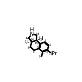 Cc1c(C(C)C)ccc2c1CC[C@@]1(C)CNC[C@@H]21